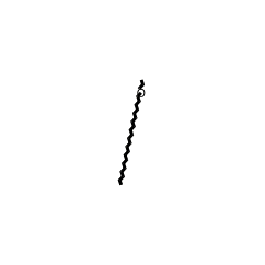 CCCCCCCCCCCCCCCCCCCCCCOCCC